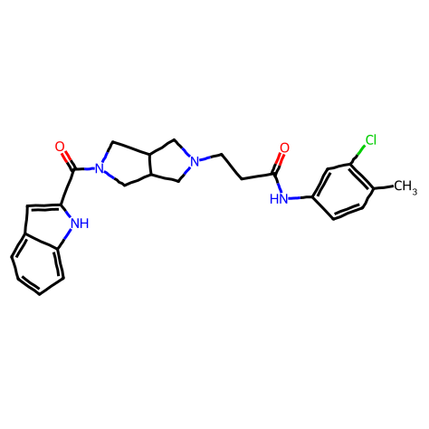 Cc1ccc(NC(=O)CCN2CC3CN(C(=O)c4cc5ccccc5[nH]4)CC3C2)cc1Cl